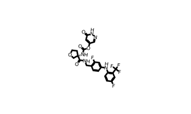 O=C(N[C@@]1(C(=O)NCc2ccc(Nc3ccc(F)cc3C(F)(F)F)cc2F)CCOC1)Oc1cn[nH]c(=O)c1